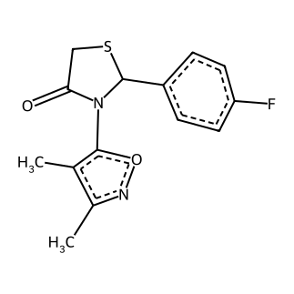 Cc1noc(N2C(=O)CSC2c2ccc(F)cc2)c1C